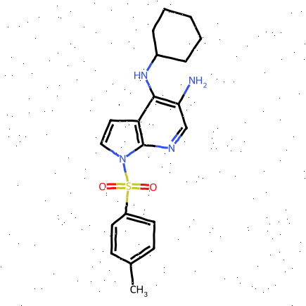 Cc1ccc(S(=O)(=O)n2ccc3c(NC4CCCCC4)c(N)cnc32)cc1